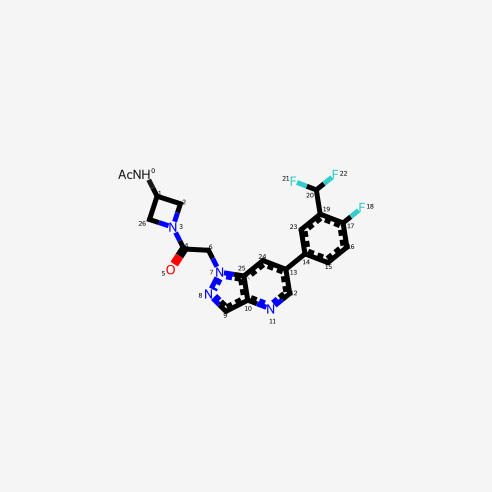 CC(=O)NC1CN(C(=O)Cn2ncc3ncc(-c4ccc(F)c(C(F)F)c4)cc32)C1